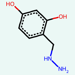 NNCc1ccc(O)cc1O